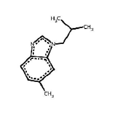 Cc1ccc2ncn(CC(C)C)c2c1